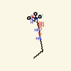 CCCCCCCC/C=C\CCCCCCCCNCCOCCNC(=O)C[C@H](O)C[C@H](O)CCn1c(-c2ccc(F)cc2)c(-c2ccccc2)c(C(=O)Nc2ccccc2)c1C(C)C